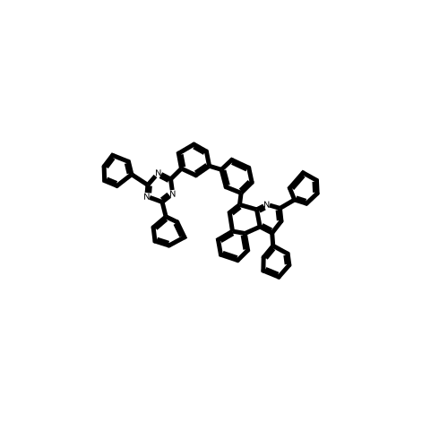 c1ccc(-c2cc(-c3ccccc3)c3c(n2)c(-c2cccc(-c4cccc(-c5nc(-c6ccccc6)nc(-c6ccccc6)n5)c4)c2)cc2ccccc23)cc1